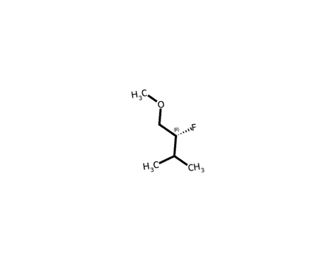 COC[C@H](F)C(C)C